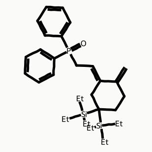 C=C1CCC([Si](CC)(CC)CC)([Si](CC)(CC)CC)CC1=CCP(=O)(c1ccccc1)c1ccccc1